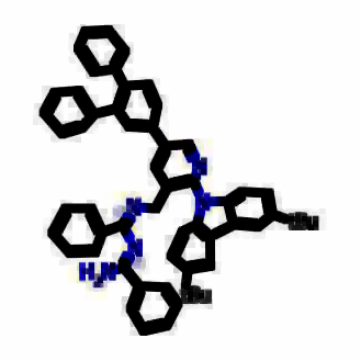 CC(C)(C)c1ccc2c(c1)c1cc(C(C)(C)C)ccc1n2-c1ncc(-c2ccc(-c3ccccc3)c(-c3ccccc3)c2)cc1C/N=C(\N=C(/N)c1ccccc1)c1ccccc1